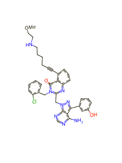 COCCNCCCCC#Cc1cccc2nc(Cn3nc(-c4cccc(O)c4)c4c(N)ncnc43)n(Cc3ccccc3Cl)c(=O)c12